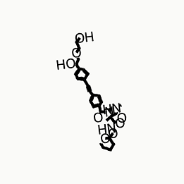 CNC(=O)C(C)(C(=O)NOC1CCCCO1)N(C)C(=O)c1ccc(C#Cc2ccc(C(O)COCCO)cc2)cc1